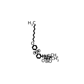 CCCCCCCCCCOc1ccc(S(=O)(=O)c2cccc(NC(=O)C(O)(Br)C(=O)C(C)(C)C)c2)cc1